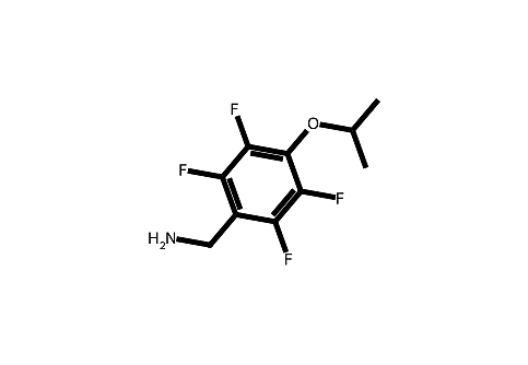 CC(C)Oc1c(F)c(F)c(CN)c(F)c1F